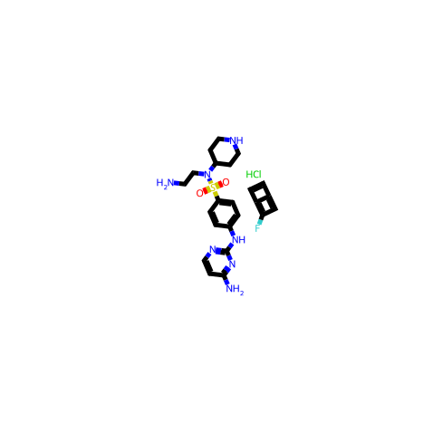 Cl.Fc1cc2ccc1-2.NCCN(C1CCNCC1)S(=O)(=O)c1ccc(Nc2nccc(N)n2)cc1